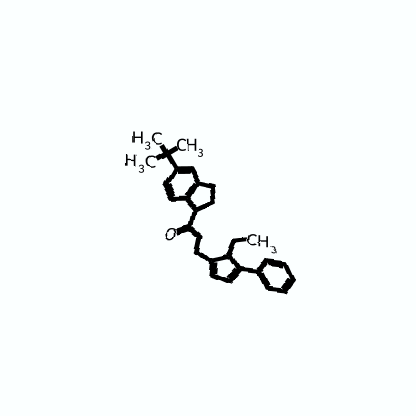 CCC1C(CCC(=O)C2CCc3cc(C(C)(C)C)ccc32)=CC=C1c1ccccc1